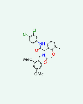 COc1ccc(CN2C(=O)COc3c(C)cccc3C2C(=O)Nc2ccc(Cl)c(Cl)c2)c(OC)c1